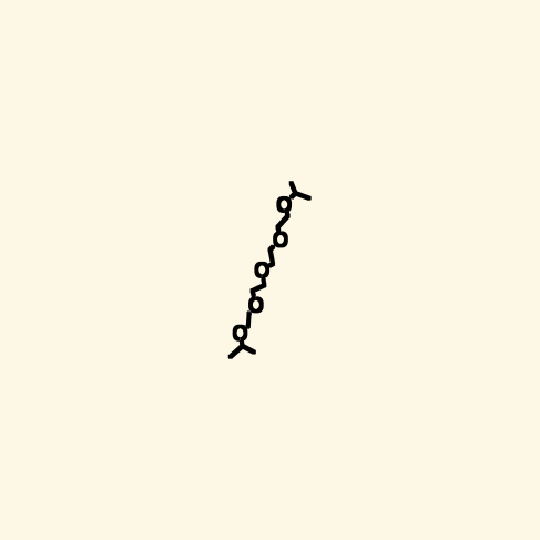 CC(C)OCCOCCOCCOCCOC(C)C